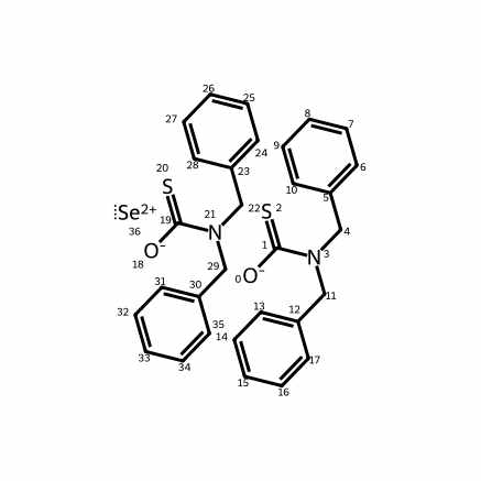 [O-]C(=S)N(Cc1ccccc1)Cc1ccccc1.[O-]C(=S)N(Cc1ccccc1)Cc1ccccc1.[Se+2]